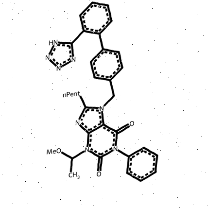 CCCCCc1nc2c(c(=O)n(-c3ccccc3)c(=O)n2C(C)OC)n1Cc1ccc(-c2ccccc2-c2nnn[nH]2)cc1